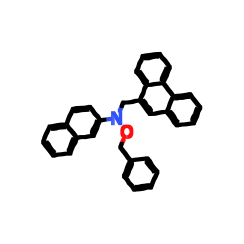 c1ccc(CON(Cc2cc3ccccc3c3ccccc23)c2ccc3ccccc3c2)cc1